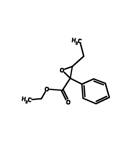 CCOC(=O)C1(c2ccccc2)OC1CC